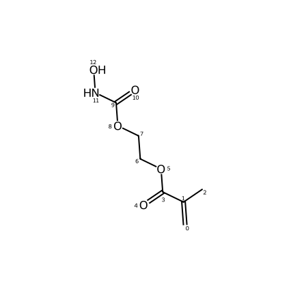 C=C(C)C(=O)OCCOC(=O)NO